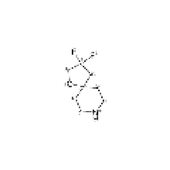 FC1(F)COC2(CCNCC2)C1